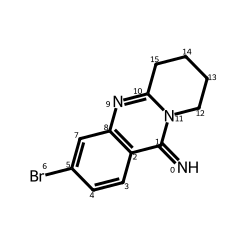 N=c1c2ccc(Br)cc2nc2n1CCCC2